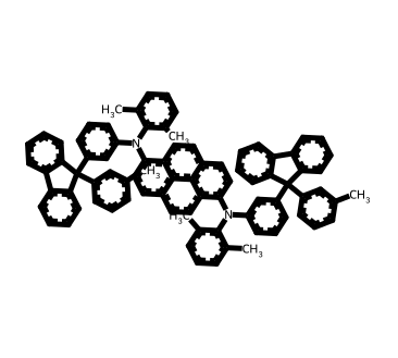 Cc1cccc(C2(c3cccc(N(c4c(C)cccc4C)c4ccc5ccc6c(N(c7cccc(C8(c9cccc(C)c9)c9ccccc9-c9ccccc98)c7)c7c(C)cccc7C)ccc7ccc4c5c76)c3)c3ccccc3-c3ccccc32)c1